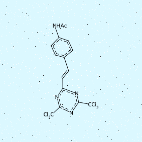 CC(=O)Nc1ccc(C=Cc2nc(C(Cl)(Cl)Cl)nc(C(Cl)(Cl)Cl)n2)cc1